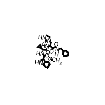 COc1cccc2[nH]cc(C(=O)N[C@H](C(=O)NC(CN3CCNC3=O)C(=O)C(=O)NCc3ccccc3)C3CC3)c12